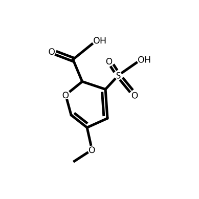 COC1=COC(C(=O)O)C(S(=O)(=O)O)=C1